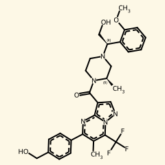 COc1ccccc1[C@H](CO)N1CCN(C(=O)c2cnn3c(C(F)(F)F)c(C)c(-c4ccc(CO)cc4)nc23)[C@H](C)C1